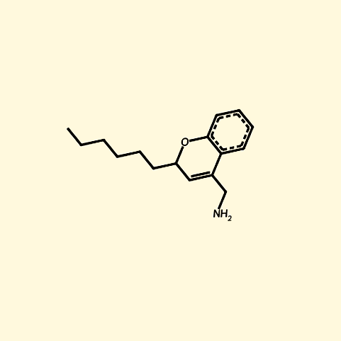 CCCCCCC1C=C(CN)c2ccccc2O1